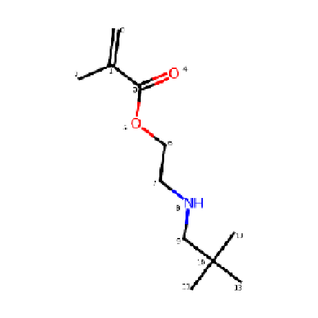 C=C(C)C(=O)OCCNCC(C)(C)C